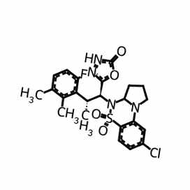 Cc1ccc(F)c([C@@H](C)[C@@H](c2n[nH]c(=O)o2)N2C3CCCN3c3cc(Cl)ccc3S2(=O)=O)c1C